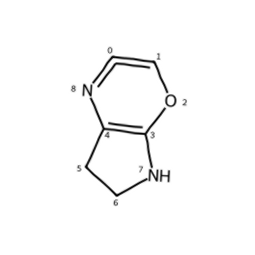 C1=COC2=C(CCN2)N=1